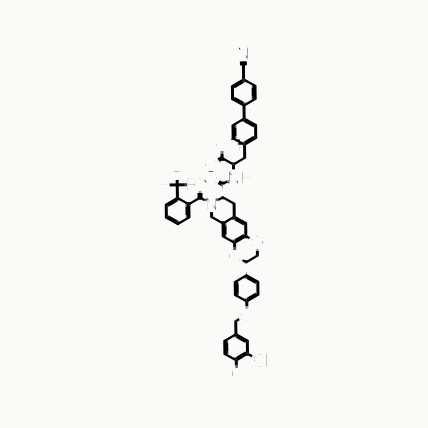 N#Cc1ccc(-c2ccc(CC(NC(=O)[C@@H]3Cc4cc5c(cc4CN3C(=O)c3ccccc3C(F)(F)F)O[C@@H](c3ccc(OCc4ccc(Cl)c(Cl)c4)cc3)CO5)C(=O)O)cc2)cc1